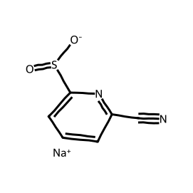 N#Cc1cccc(S(=O)[O-])n1.[Na+]